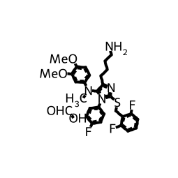 COc1ccc(N(C)c2c(CCCCN)nc(SCc3c(F)cccc3F)n2-c2ccc(F)cc2)cc1OC.O=CO